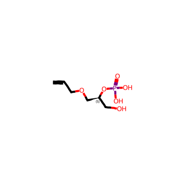 C=CCOC[C@H](CO)OP(=O)(O)O